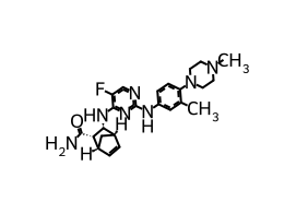 Cc1cc(Nc2ncc(F)c(N[C@H]3[C@@H](C(N)=O)[C@H]4C=C[C@@H]3C4)n2)ccc1N1CCN(C)CC1